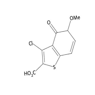 COC1C=Cc2sc(C(=O)O)c(Cl)c2C1=O